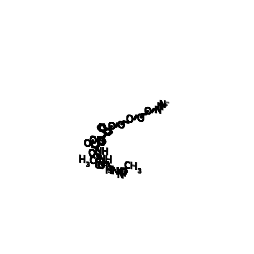 Cc1ccnc(NCCCC(=O)NC(C(=O)NC(CC(=O)O)c2ccc(-c3ccc(OCCOCCOCCOCCOCCN=[N+]=[N-])c4ccccc34)cc2)C(C)C)c1